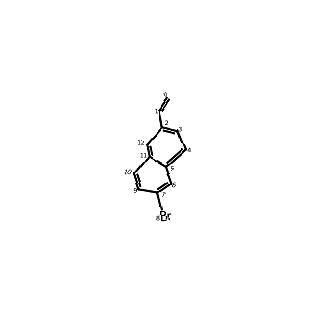 C=Cc1ccc2cc(Br)ccc2c1